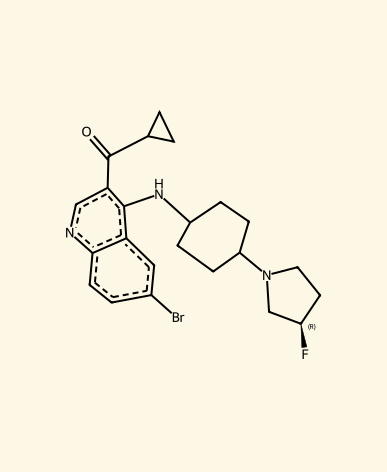 O=C(c1cnc2ccc(Br)cc2c1NC1CCC(N2CC[C@@H](F)C2)CC1)C1CC1